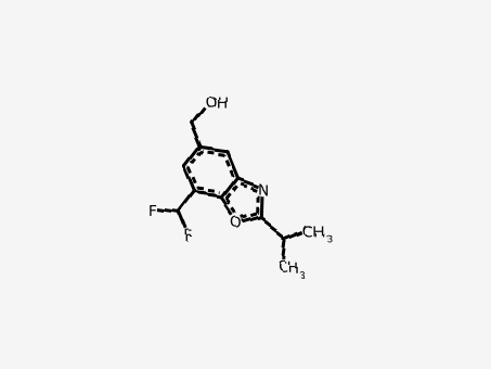 CC(C)c1nc2cc(CO)cc(C(F)F)c2o1